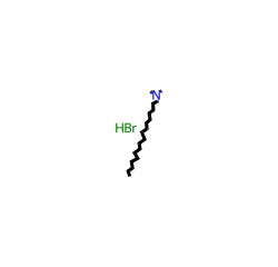 Br.CCCCCCCCCCCCCCCCCN(C)C